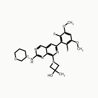 COc1cc(OC)c(F)c(-c2cc3cnc(N[C@H]4CCCOC4)nc3c(N3CC(C)(O)C3)n2)c1F